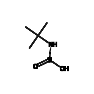 CC(C)(C)N[Si](=O)O